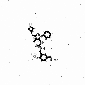 COCc1ccc(OC(F)(F)F)c(CNC(=O)Nc2c(C)c(OC3CNC3)nn2-c2ccccc2)c1